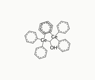 O[CH]([Ge]([c]1ccccc1)([c]1ccccc1)[c]1ccccc1)[Ge]([c]1ccccc1)([c]1ccccc1)[c]1ccccc1